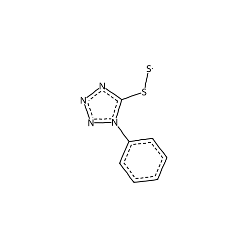 [S]Sc1nnnn1-c1ccccc1